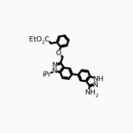 CCOC(=O)Cc1ccccc1OCc1nn(C(C)C)c2ccc(-c3ccc4[nH]nc(N)c4c3)cc12